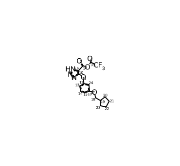 O=C(OC(=O)C(F)(F)F)c1[nH]nnc1Oc1cccc(OCC2CCCC2)c1